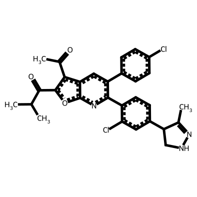 CC(=O)c1c(C(=O)C(C)C)oc2nc(-c3ccc(C4CNN=C4C)cc3Cl)c(-c3ccc(Cl)cc3)cc12